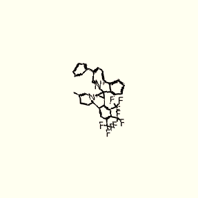 Cc1ccc2[n+](c1)C1C(c3c-2cc(C(F)(F)F)c(C(F)(F)F)c3C(F)(F)F)C12c1ccccc1-c1ccc(-c3ccccc3)c[n+]12